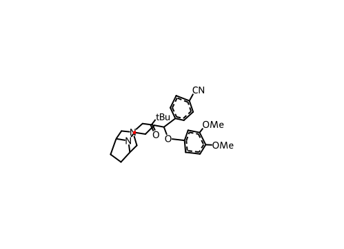 COc1ccc(OC(CCCN2C3CCC2CN(CC(=O)C(C)(C)C)C3)c2ccc(C#N)cc2)cc1OC